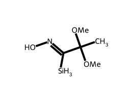 COC(C)(OC)C([SiH3])=NO